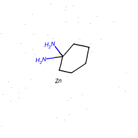 NC1(N)CCCCC1.[Zn]